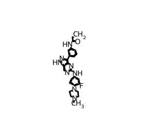 C=CC(=O)Nc1cccc(-c2n[nH]c3cnc(Nc4ccc(N5CCN(C)CC5)c(F)c4)nc23)c1